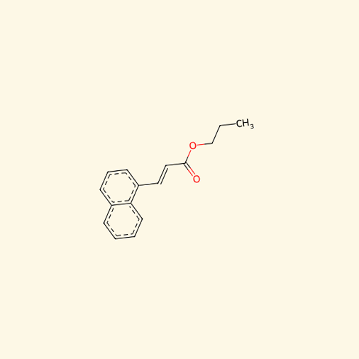 CCCOC(=O)C=Cc1cccc2ccccc12